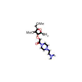 B[C@@H]1O[C@H](COC)C(OC)[C@@H]1OCC(=O)N1CCN(CCN(C)C)CC1